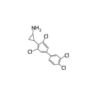 NC1CC1c1c(Cl)cc(-c2ccc(Cl)c(Cl)c2)cc1Cl